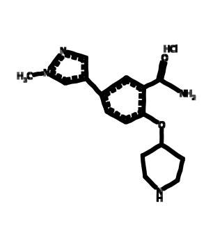 Cl.Cn1cc(-c2ccc(OC3CCNCC3)c(C(N)=O)c2)cn1